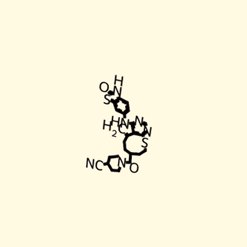 C=C1CCC(C(=O)N2CCC(C#N)CC2)CCSc2ncnc(Nc3ccc4[nH]c(=O)sc4c3)c21